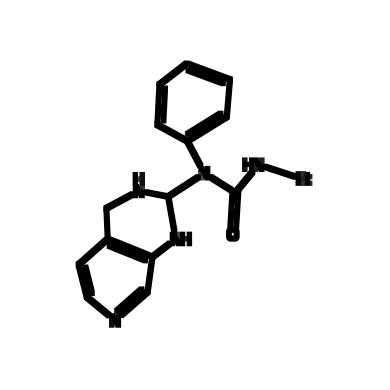 CCNC(=O)N(c1ccccc1)C1NCc2ccncc2N1